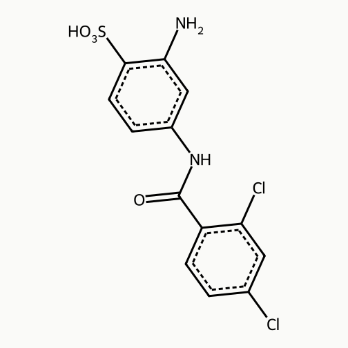 Nc1cc(NC(=O)c2ccc(Cl)cc2Cl)ccc1S(=O)(=O)O